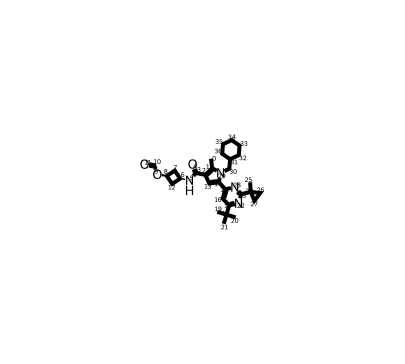 Cc1c(C(=O)N[C@H]2C[C@H](OC=O)C2)cc(-c2cc(C(C)(C)C)nc(C3(C)CC3)n2)n1CC1CCCCC1